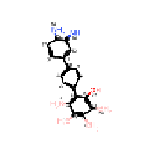 Bc1c(B)c(B)c(-c2ccc(C3=CC(=N)C(N)C=C3)cc2)c(O)c1B